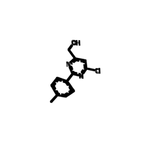 Cc1ccc(-c2nc(Cl)cc(CO)n2)cc1